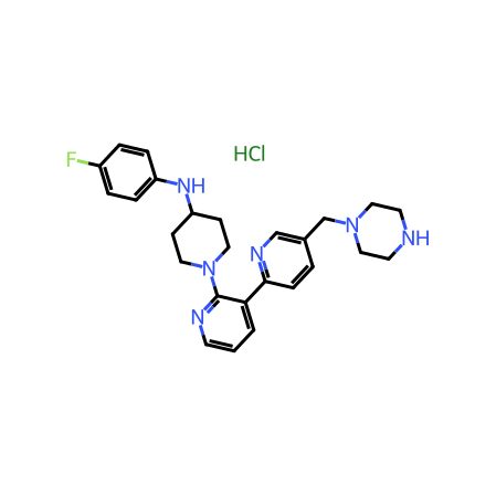 Cl.Fc1ccc(NC2CCN(c3ncccc3-c3ccc(CN4CCNCC4)cn3)CC2)cc1